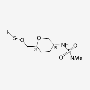 CNS(=O)(=O)N[C@@H]1CC[C@@H](COSI)OC1